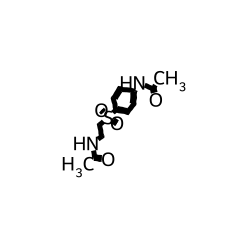 CC(=O)NCCS(=O)(=O)c1ccc(NC(C)=O)cc1